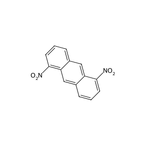 O=[N+]([O-])c1cccc2cc3c([N+](=O)[O-])cccc3cc12